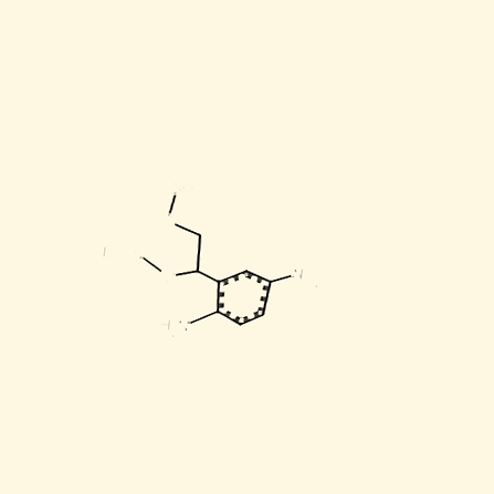 Nc1ccc(N)c(C(COS(=O)(=O)O)OS(=O)(=O)O)c1